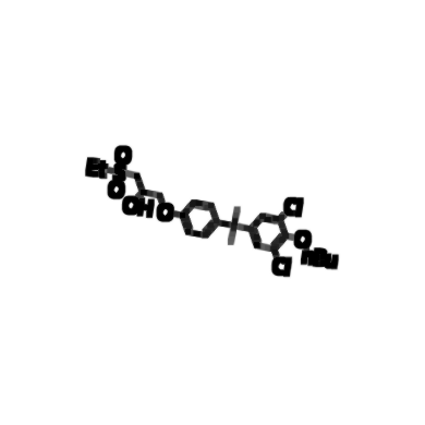 CCCCOc1c(Cl)cc(C(C)(C)c2ccc(OCC(O)CS(=O)(=O)CC)cc2)cc1Cl